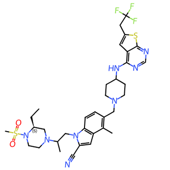 CC[C@H]1CN(C(C)Cn2c(C#N)cc3c(C)c(CN4CCC(Nc5ncnc6sc(CC(F)(F)F)cc56)CC4)ccc32)CCN1S(C)(=O)=O